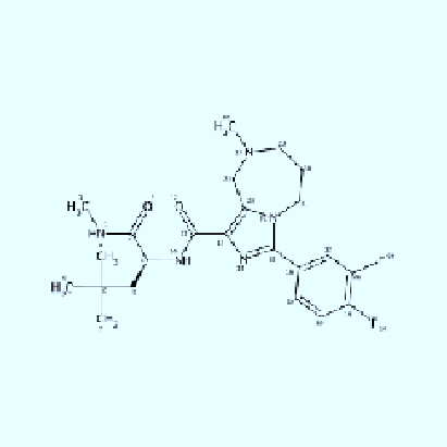 CNC(=O)[C@H](CC(C)(C)C)NC(=O)c1nc(-c2ccc(F)c(F)c2)n2c1CN(C)CCC2